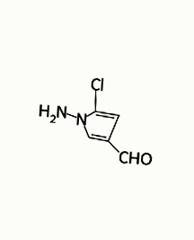 Nn1cc(C=O)cc1Cl